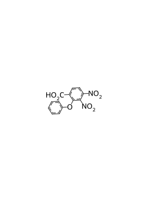 O=C(O)c1ccc([N+](=O)[O-])c([N+](=O)[O-])c1Oc1ccccc1